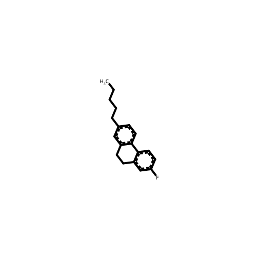 CCCCCc1ccc2c(c1)CCc1cc(F)ccc1-2